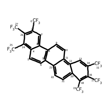 FC(F)(F)c1cc2c(ccc3c2ccc2c4cc(C(F)(F)F)c(C(F)(F)F)c(C(F)(F)F)c4ccc23)c(C(F)(F)F)c1C(F)(F)F